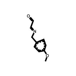 COc1ccc(CN=CC=O)cc1